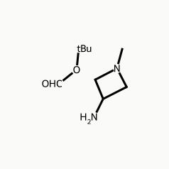 CC(C)(C)OC=O.CN1CC(N)C1